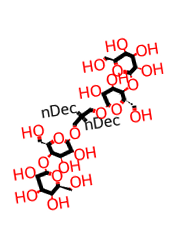 CCCCCCCCCCC(CCCCCCCCCC)(CO[C@H]1O[C@@H](CO)[C@H](O[C@@H]2O[C@@H](CO)[C@H](O)[C@@H](O)[C@@H]2O)[C@@H](O)[C@@H]1O)CO[C@H]1O[C@@H](CO)[C@H](O[C@@H]2O[C@@H](CO)[C@H](O)[C@@H](O)[C@@H]2O)[C@@H](O)[C@H]1O